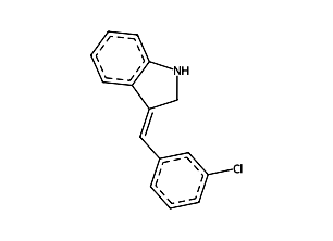 Clc1cccc(C=C2CNc3ccccc32)c1